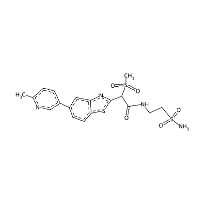 Cc1ccc(-c2ccc3sc(C(C(=O)NCCS(N)(=O)=O)S(C)(=O)=O)nc3c2)cn1